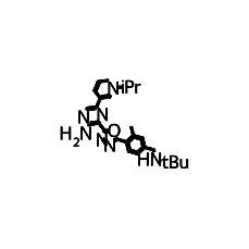 Cc1cc(CNC(C)(C)C)ccc1-c1nnc(-c2nc(C3=CN(C(C)C)CC=C3)cnc2N)o1